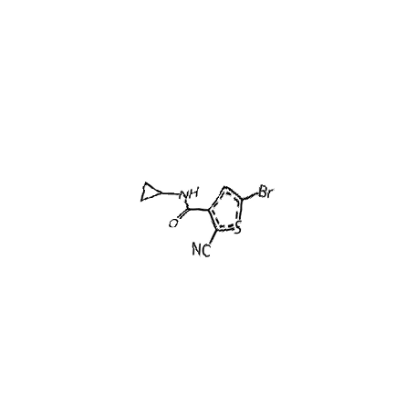 N#Cc1sc(Br)cc1C(=O)NC1CC1